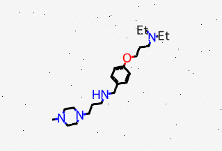 CCN(CC)CCCOc1ccc(CNCCCN2CCN(C)CC2)cc1